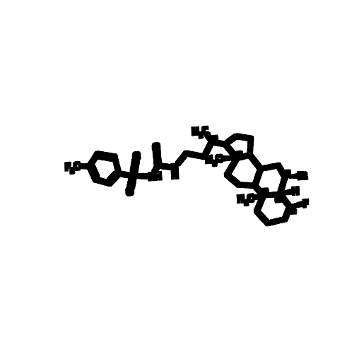 CC[C@H]1CC2C3CCC([C@H](C)CCNC(=O)NS(=O)(=O)c4ccc(C(F)(F)F)cc4)[C@@]3(C)CCC2[C@@]2(C)CCC[C@H](F)[C@@H]12